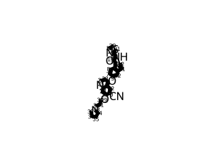 N#Cc1cc2c(Oc3ccc4c(ccn4C(=O)Nc4nccs4)c3)ccnc2cc1OCCCN1CCCC1